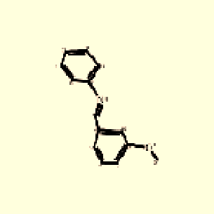 COc1cccc(C=Nc2ccccc2)c1